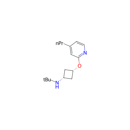 CCCc1ccnc(O[C@H]2C[C@@H](NC(C)(C)C)C2)c1